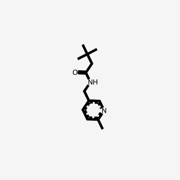 Cc1ccc(CNC(=O)CC(C)(C)C)cn1